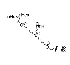 CCCCCCC(C/C=C\COC(=O)CCCCCCCN(CCCCCCCC(=O)OC/C=C\CC(CCCCCC)CCCCCC)C(=O)CCCN(C)C)CCCCCC